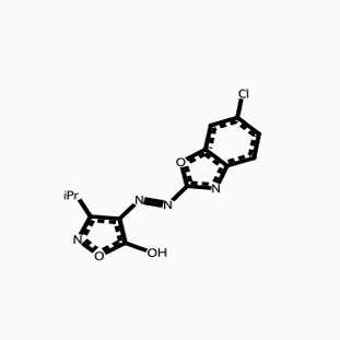 CC(C)c1noc(O)c1N=Nc1nc2ccc(Cl)cc2o1